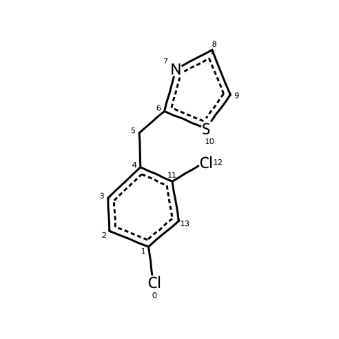 Clc1ccc(Cc2n[c]cs2)c(Cl)c1